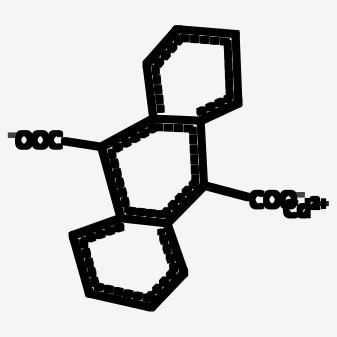 O=C([O-])c1c2ccccc2c(C(=O)[O-])c2ccccc12.[Cd+2]